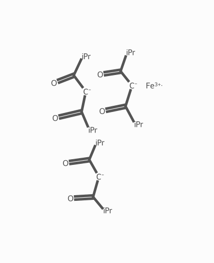 CC(C)C(=O)[CH-]C(=O)C(C)C.CC(C)C(=O)[CH-]C(=O)C(C)C.CC(C)C(=O)[CH-]C(=O)C(C)C.[Fe+3]